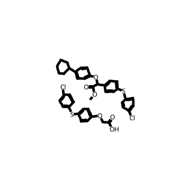 COC(=O)C(Oc1ccc(C2CCCCC2)cc1)c1ccc(Sc2ccc(Cl)cc2)cc1.O=C(O)COc1ccc(Sc2ccc(Cl)cc2)cc1